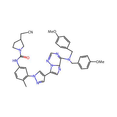 COc1ccc(CN(Cc2ccc(OC)cc2)c2ncnn3c(-c4cnn(-c5cc(NC(=O)N6CCC(CC#N)C6)ccc5C)c4)cnc23)cc1